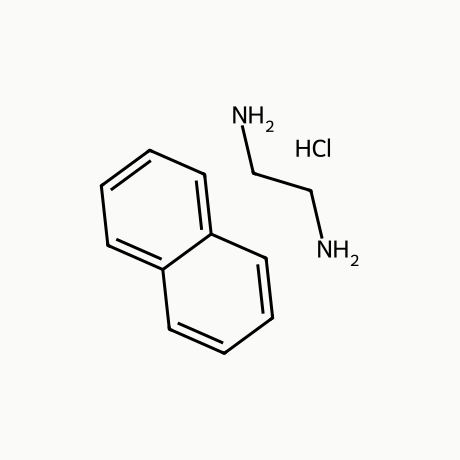 Cl.NCCN.c1ccc2ccccc2c1